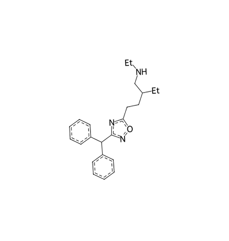 CCNCC(CC)CCc1nc(C(c2ccccc2)c2ccccc2)no1